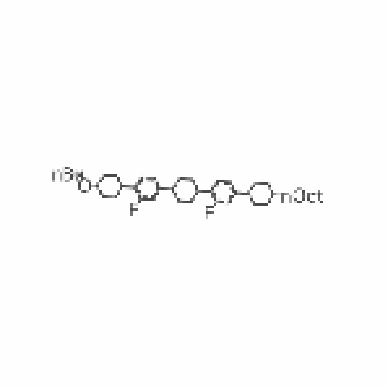 CCCCCCCCC1CCC(c2ccc(C3CCC(c4ccc(C5CCC(OCCCC)CC5)c(F)c4)CC3)c(F)c2)CC1